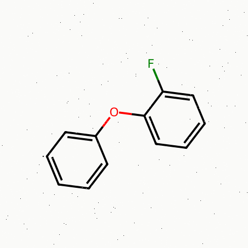 Fc1ccccc1Oc1c[c]ccc1